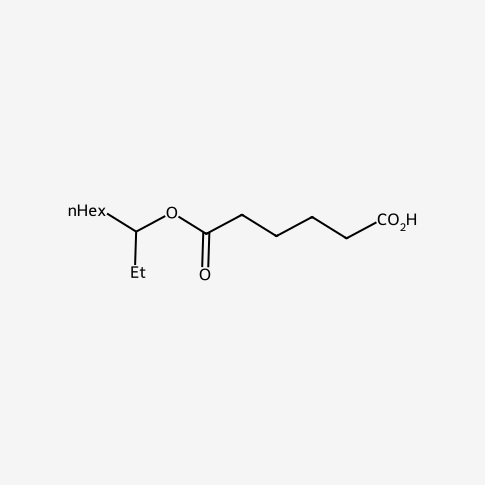 CCCCCCC(CC)OC(=O)CCCCC(=O)O